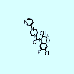 CC1COc2cc(Cl)c(F)cc2N1C(=O)N1CCN(c2cccnc2)CC1